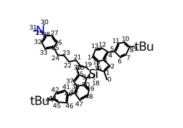 CC1=Cc2c(-c3ccc(C(C)(C)C)cc3)cccc2C1[Si](C)(CCCCCCc1ccc(N(C)C)cc1)C1C(C)=Cc2c(-c3ccc(C(C)(C)C)cc3)cccc21